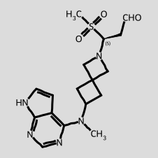 CN(c1ncnc2[nH]ccc12)C1CC2(C1)CN([C@H](CC=O)S(C)(=O)=O)C2